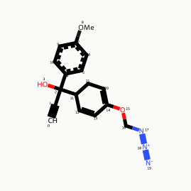 C#CC(O)(c1ccc(OC)cc1)C1C=CC(OCN=[N+]=[N-])=CC1